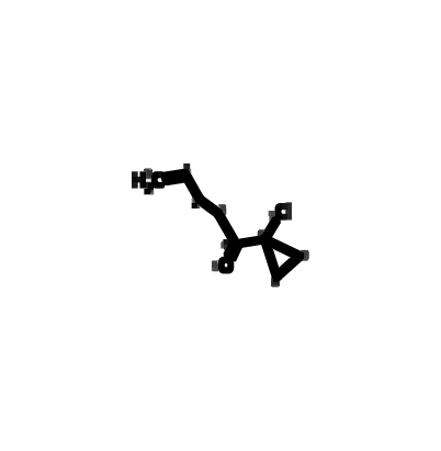 C=CCCC(=O)C1(Cl)CC1